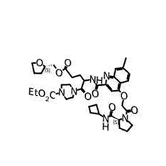 CCOC(=O)N1CCN(C(=O)C(CCC(=O)OC[C@@H]2CCCO2)NC(=O)c2cc(OCC(=O)N3CCC[C@H]3C(=O)NC3CCC3)c3ccc(C)cc3n2)CC1